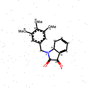 COc1cc(CN2C(=O)C(=O)C3=CC=CCC32)cc(OC)c1OC